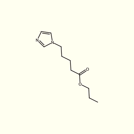 CCCOC(=O)CCCCn1c[c]nc1